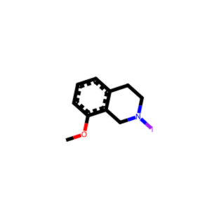 COc1cccc2c1CN(I)CC2